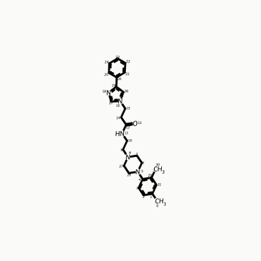 Cc1ccc(N2CCN(CCNC(=O)CCn3cnc(-c4ccccc4)c3)CC2)c(C)c1